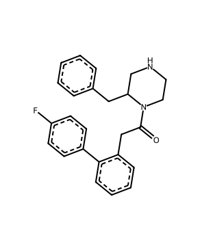 O=C(Cc1ccccc1-c1ccc(F)cc1)N1CCNCC1Cc1ccccc1